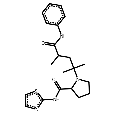 CC(CC(C)(C)N1CCCC1C(=O)Nc1nccs1)C(=O)Nc1ccccc1